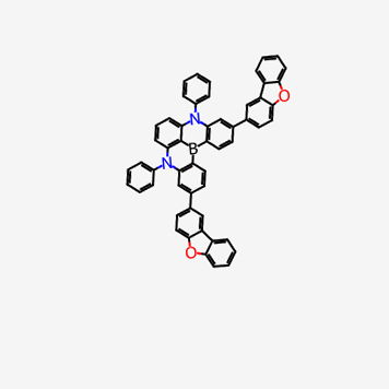 c1ccc(N2c3cc(-c4ccc5oc6ccccc6c5c4)ccc3B3c4ccc(-c5ccc6oc7ccccc7c6c5)cc4N(c4ccccc4)c4cccc2c43)cc1